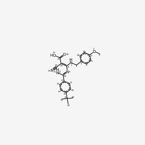 COc1ccc(CNC(/N=C(\N)c2ccc(C(C)(C)C)cc2)=C(C#N)C(=O)O)cc1